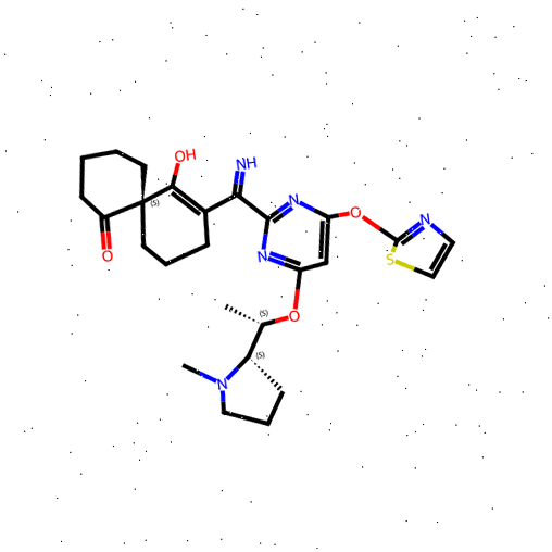 C[C@H](Oc1cc(Oc2nccs2)nc(C(=N)C2=C(O)[C@]3(CCCCC3=O)CCC2)n1)[C@@H]1CCCN1C